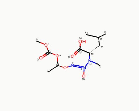 COC(=O)OC(C)O/N=[N+](\[O-])N(C)[C@@H](CC(C)C)C(=O)O